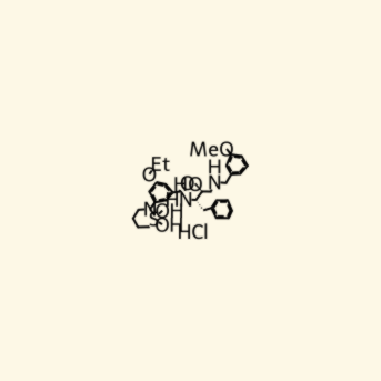 CCOc1cc(C(=O)N[C@@H](Cc2ccccc2)[C@@H](O)CNCc2cccc(OC)c2)cc(N2CCCCS2(O)O)c1.Cl